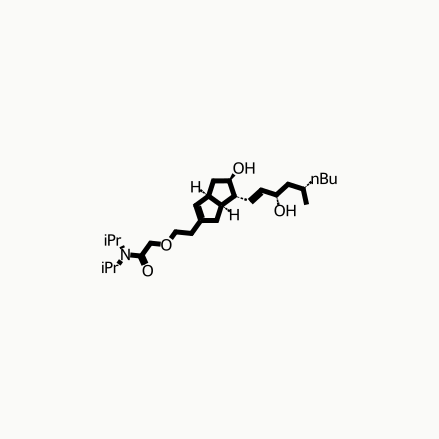 CCCC[C@H](C)C[C@H](O)/C=C/[C@@H]1[C@H]2CC(CCOCC(=O)N(C(C)C)C(C)C)=C[C@H]2C[C@H]1O